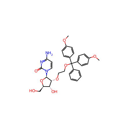 COc1ccc(C(OCCO[C@@H]2[C@H](O)[C@@H](CO)O[C@H]2n2ccc(N)nc2=O)(c2ccccc2)c2ccc(OC)cc2)cc1